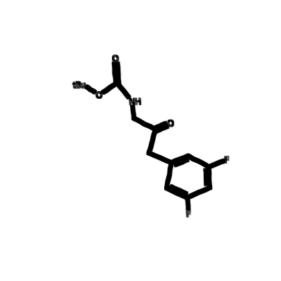 CC(C)(C)OC(=O)NCC(=O)Cc1cc(F)cc(F)c1